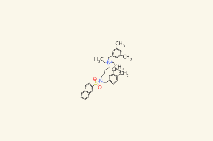 CC[N+](CC)(CCCCN(Cc1ccc(C)c(C)c1)S(=O)(=O)c1ccc2ccccc2c1)Cc1cc(C)cc(C)c1